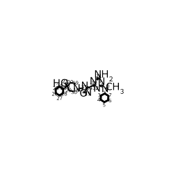 CN(c1ccccc1)c1nc(N)nc(-c2noc(N3CCC(O)(c4ccccc4)CC3)n2)n1